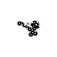 CC1(C)c2ccccc2C2(c3ccccc3-c3cc(-c4c(-c5ccc(N/C=C/C=C\C=C/c6ccccc6)cc5)c5ccccc5c5ccccc45)ccc32)c2ccccc21